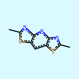 Cc1nc2nc3nc(C)sc3cc2s1